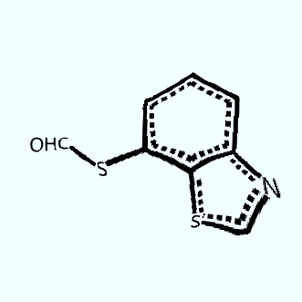 O=CSc1cccc2ncsc12